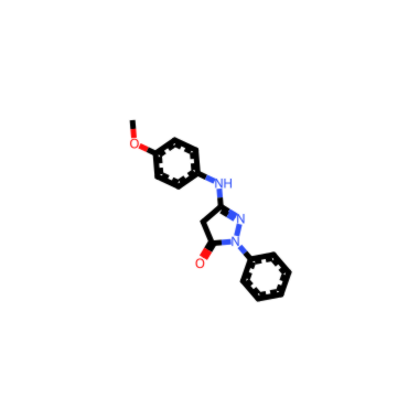 COc1ccc(NC2=NN(c3ccccc3)C(=O)C2)cc1